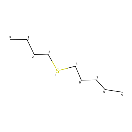 C[CH]CCSCCCCC